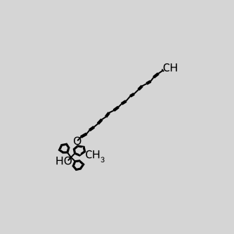 C#CC#CC#CC#CC#CC#CC#CC#CC#CC#CC#COc1cc(C)cc(C(O)(c2ccccc2)c2ccccc2)c1